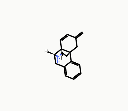 C=C1C=C[C@H]2[C@H]3Cc4ccccc4[C@@]2(CCN3)C1